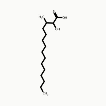 CCCCCCCCCCCCC(C)C(O)C(O)=S